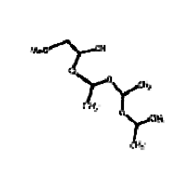 [CH2]C(O)OC([CH2])OC([CH2])OC(O)COC